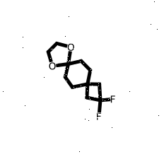 FC1(F)CC2(CCC3(CC2)OCCO3)C1